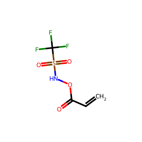 C=CC(=O)ONS(=O)(=O)C(F)(F)F